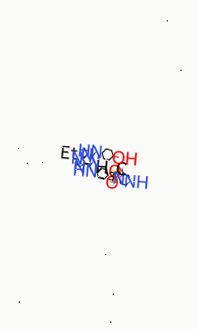 CCn1cnc2c(Nc3ccc(S(=O)(=O)N4CCNCC4C)cc3)nc(NC3CCC(O)CC3)nc21